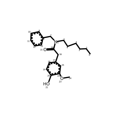 CCCCCCN(Cc1ccccc1)C(=O)Cc1ccc(O)c(OC)c1